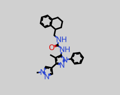 Cc1c(-c2cnn(C)c2)nn(-c2ccccc2)c1NC(=O)NCC1CCCc2ccccc21